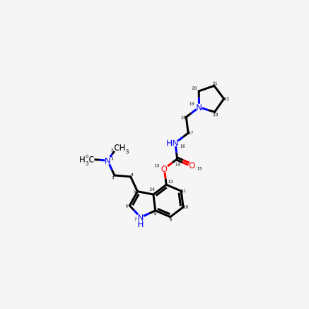 CN(C)CCc1c[nH]c2cccc(OC(=O)NCCN3CCCC3)c12